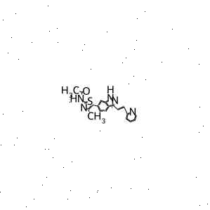 CC(=O)Nc1nc(C)c(-c2ccc3c(/C=C/c4ccccn4)n[nH]c3c2)s1